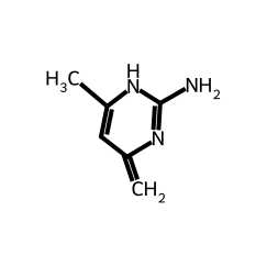 C=C1C=C(C)NC(N)=N1